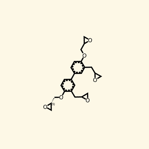 c1cc(OCC2CO2)c(CC2CO2)cc1-c1ccc(OC[C@@H]2CO2)c(CC2CO2)c1